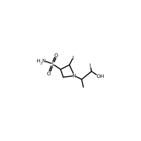 CC(C(O)I)N1CC(S(N)(=O)=O)C1I